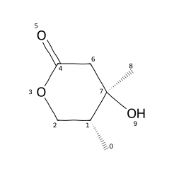 C[C@@H]1COC(=O)C[C@@]1(C)O